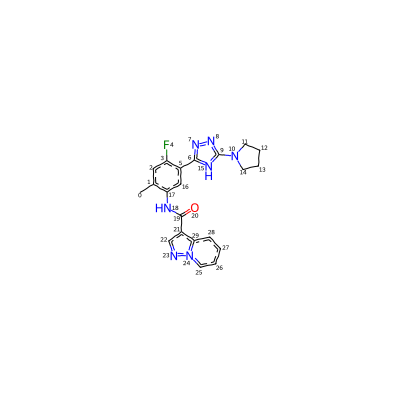 Cc1cc(F)c(-c2nnc(N3CCCC3)[nH]2)cc1NC(=O)c1cnn2ccccc12